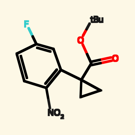 CC(C)(C)OC(=O)C1(c2cc(F)ccc2[N+](=O)[O-])CC1